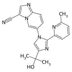 Cc1cccc(-c2nc(C(C)(C)O)cn2-c2ccc3ncc(C#N)n3c2)n1